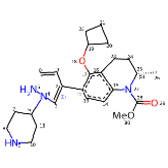 C=C/C(=C\N(N)C1CCNCC1)c1ccc2c(c1OC1CCC1)CC[C@H](C)N2C(=O)OC